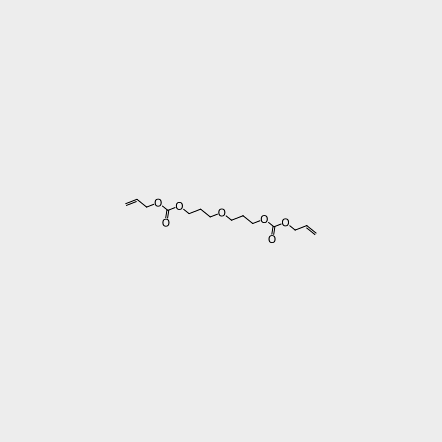 C=CCOC(=O)OCCCOCCCOC(=O)OCC=C